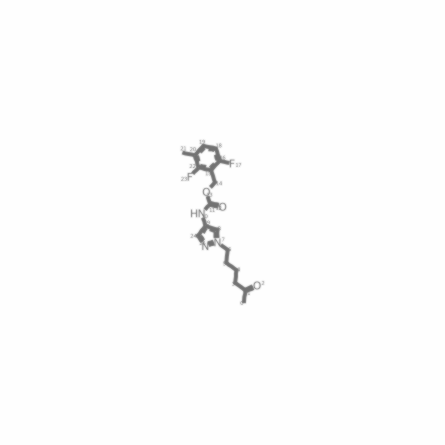 CC(=O)CCCCn1cc(NC(=O)OCc2c(F)ccc(C)c2F)cn1